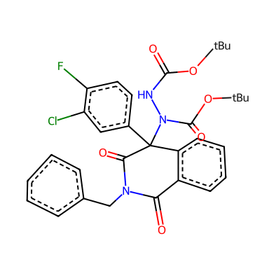 CC(C)(C)OC(=O)NN(C(=O)OC(C)(C)C)C1(c2ccc(F)c(Cl)c2)C(=O)N(Cc2ccccc2)C(=O)c2ccccc21